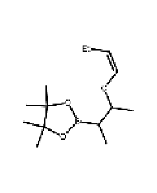 CC/C=C\OC(C)C(C)B1OC(C)(C)C(C)(C)O1